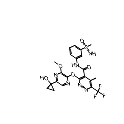 COc1nc(C2(O)CC2)cnc1Oc1nnc(C(F)(F)F)c(C)c1C(=O)Nc1cccc(S(C)(=N)=O)c1